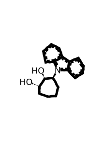 O[C@H]1[C@@H](O)CCCC[C@@H]1n1c2ccccc2c2ccccc21